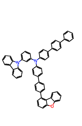 c1ccc(-c2ccc(-c3ccc(N(c4ccc(-c5ccc(-c6cccc7oc8ccccc8c67)cc5)cc4)c4cccc(-n5c6ccccc6c6ccccc65)c4)cc3)cc2)cc1